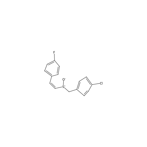 [O-][S+](/C=C\c1ccc(F)cc1)Cc1ccc(Cl)cc1